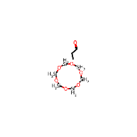 CCC=O.O1[SiH2]O[SiH2]O[SiH2]O[SiH2]O[SiH2]O[SiH2]1